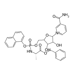 C[C@H](NP(=O)(OCC1OC([n+]2cccc(C(N)=O)c2)C(O)C1O)Oc1cccc2ccccc12)C(=O)OCc1ccccc1